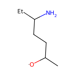 CCC(N)CCC(C)[O]